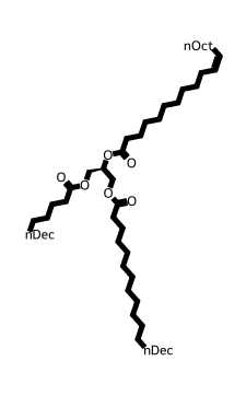 CCCCCCCC/C=C\CCCCCCCCCC(=O)O[C@H](COC(=O)CCCCCCCCCCCCCC)COC(=O)CCCCCCCCCCCCCCCCCCCCC